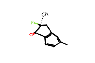 Cc1ccc2c(c1)C[C@@](F)(C#N)C2=O